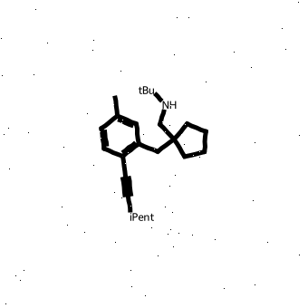 CCCC(C)C#Cc1ccc(C)cc1CC1(CNC(C)(C)C)CCCC1